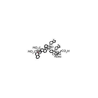 CCCCCCCCCCCCCCCC(=O)O.COC(=O)[C@H](c1ccccc1Cl)N1CCc2sccc2C1.COC(=O)[C@H](c1ccccc1Cl)N1CCc2sccc2C1.O=C(O)c1cc2ccccc2c(Cc2c(O)c(C(=O)O)cc3ccccc23)c1O